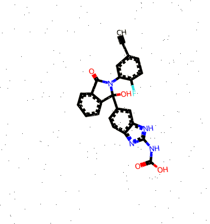 C#Cc1ccc(F)c(N2C(=O)c3ccccc3C2(O)c2ccc3nc(NC(=O)O)[nH]c3c2)c1